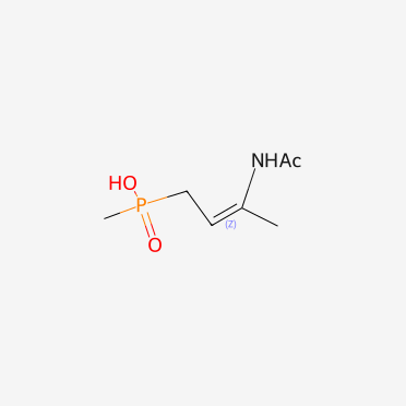 CC(=O)N/C(C)=C\CP(C)(=O)O